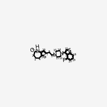 O=C1CCCc2sc(CCN3CCN(c4csc5cccc(F)c45)CC3)cc2N1